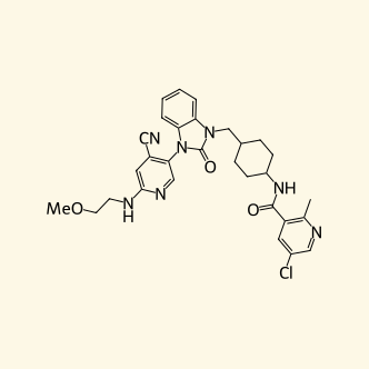 COCCNc1cc(C#N)c(-n2c(=O)n(CC3CCC(NC(=O)c4cc(Cl)cnc4C)CC3)c3ccccc32)cn1